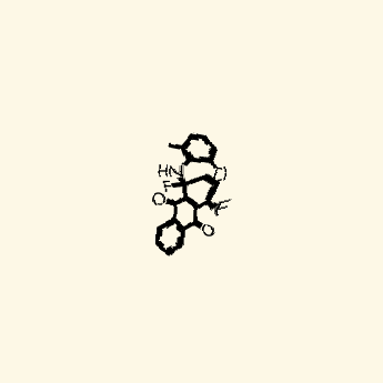 Cc1cccc(Cl)c1NC1(F)CC=C(F)C2=C1C(=O)c1ccccc1C2=O